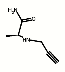 C#CCN[C@@H](C)C(N)=O